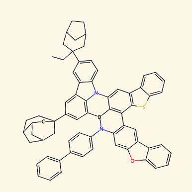 CCC1(c2ccc3c(c2)c2cc(C45CCC6CC(CC6C4)C5)cc4c2n3-c2cc3c(sc5ccccc53)c3c2B4N(c2ccc(-c4ccccc4)cc2)c2cc4oc5ccccc5c4cc2-3)CC2CCC(C2)C1